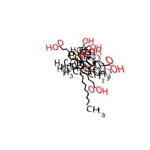 CCCCCCCCCCCCC(c1c(C(C)(C)C)cc(CCC(=O)O)cc1C(C)(C)C)C(C(=S)OCC(CO)(CO)CO)(c1c(C(C)(C)C)cc(CCC(=O)O)cc1C(C)(C)C)c1c(C(C)(C)C)cc(CCC(=O)O)cc1C(C)(C)C